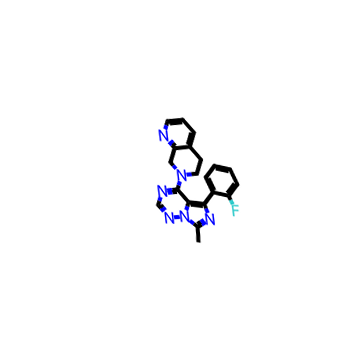 Cc1nc(-c2ccccc2F)c2c(N3CCc4cccnc4C3)ncnn12